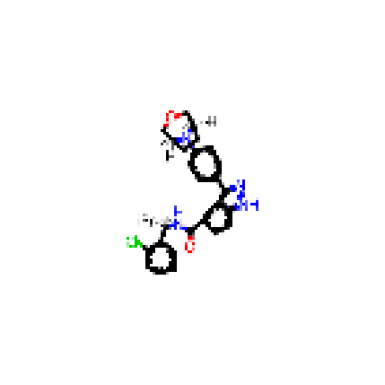 CC(C)[C@H](NC(=O)c1ccc2[nH]nc(-c3ccc(N4[C@@H]5CC[C@H]4COC5)cc3)c2c1)c1ccccc1Cl